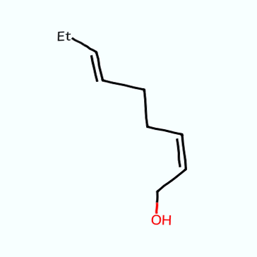 CC/C=C/CC/C=C\CO